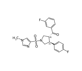 Cn1cnc(S(=O)(=O)N2C[C@H](C(=O)c3cccc(F)c3)[C@@H](c3ccc(F)cc3)C2)c1